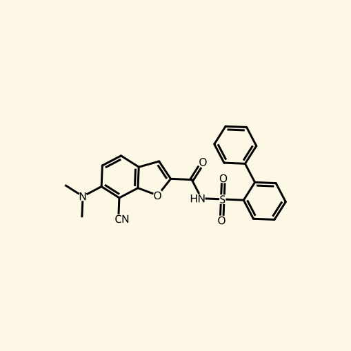 CN(C)c1ccc2cc(C(=O)NS(=O)(=O)c3ccccc3-c3ccccc3)oc2c1C#N